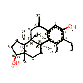 CCc1c(O)cc2c(c1C)[C@H]1CC[C@]3(C)[C@@H](O)CC[C@H]3[C@@H]1CC2C